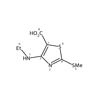 CCNc1nc(SC)sc1C(=O)O